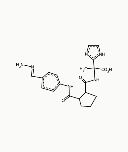 CC(NC(=O)C1CCCC1C(=O)Nc1ccc(C=NN)cc1)(C(=O)O)c1ncc[nH]1